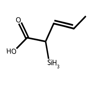 CC=CC([SiH3])C(=O)O